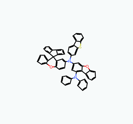 c1ccc(N(c2ccccc2)c2cc(N(c3ccc4c(c3)C3(c5ccccc5O4)c4ccccc4-c4ccccc43)c3ccc4c(c3)sc3ccccc34)cc3oc4ccccc4c23)cc1